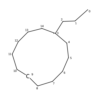 CCC[C]1CCCCCCCCCCC1